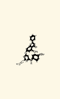 Cc1nc(Nc2ccc(C(C)(C)C)cc2)cc(Oc2cc(O)c3c(=O)cc(-c4ccccc4)oc3c2)n1